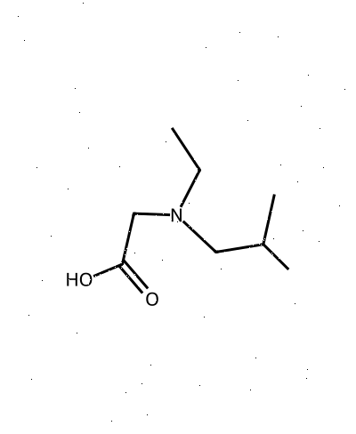 CCN(CC(=O)O)CC(C)C